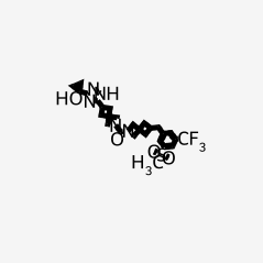 CS(=O)(=O)c1cc(CC2CC3(C2)CN(C(=O)N2CC4(CC(c5nc(C6(O)CC6)n[nH]5)C4)C2)C3)cc(C(F)(F)F)c1